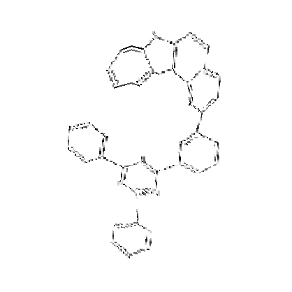 c1ccc(-c2nc(-c3ccccc3)nc(-c3cccc(-c4ccc5ccc6sc7ccccc7c6c5c4)c3)n2)cc1